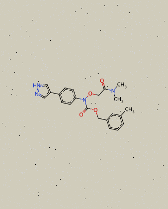 Cc1cccc(COC(=O)N(OCC(=O)N(C)C)c2ccc(-c3cn[nH]c3)cc2)c1